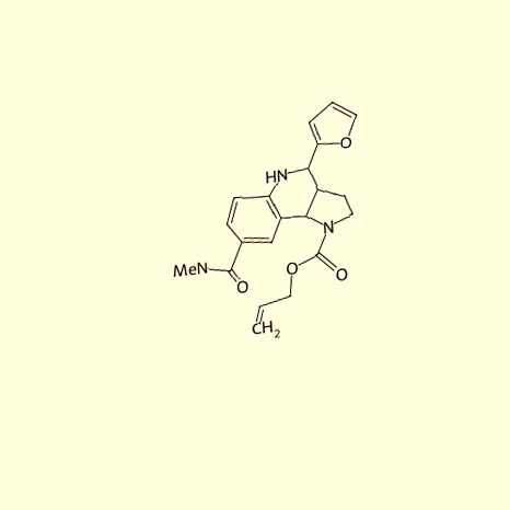 C=CCOC(=O)N1CCC2C(c3ccco3)Nc3ccc(C(=O)NC)cc3C21